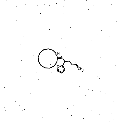 C=CCCC(N=C1CCCCCCCCCCCN1)c1ccco1